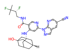 CC(C)(F)[C@H](F)CNC(=O)c1cnc(-n2ncc3cc(C#N)cnc32)cc1N[C@]12CC3C[C@H](CC(O)(C3)C1)C2